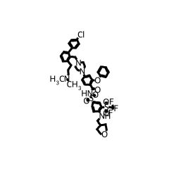 CN(C)CCCc1cccc(-c2ccc(Cl)cc2)c1CN1CCN(c2ccc(C(=O)NS(=O)(=O)c3ccc(NCC4CCOCC4)c(S(=O)(=O)C(F)(F)F)c3)c(Oc3ccccc3)c2)CC1